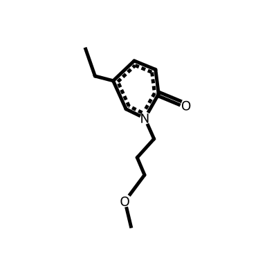 CCc1ccc(=O)n(CCCOC)c1